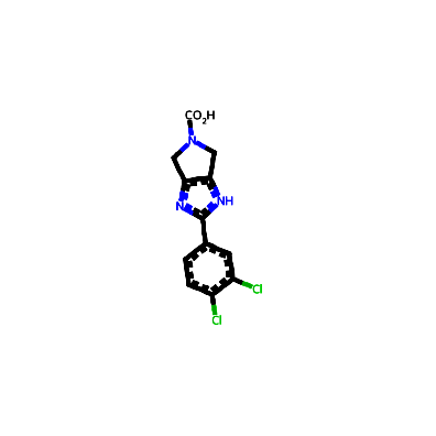 O=C(O)N1Cc2nc(-c3ccc(Cl)c(Cl)c3)[nH]c2C1